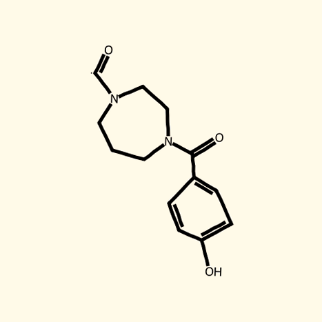 O=[C]N1CCCN(C(=O)c2ccc(O)cc2)CC1